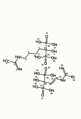 CC(=N)NCCCCC(O)(P(=O)(O)O)P(=O)(O)O.CCC(=N)NC=CC(O)(P(=O)(O)O)P(=O)(O)O